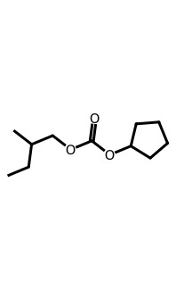 CCC(C)COC(=O)OC1CCCC1